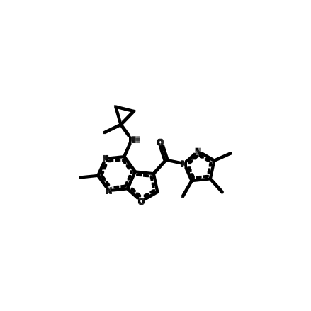 Cc1nc(NC2(C)CC2)c2c(C(=O)n3nc(C)c(C)c3C)coc2n1